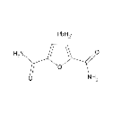 NC(=O)c1ccc(C(N)=O)o1.[PbH2]